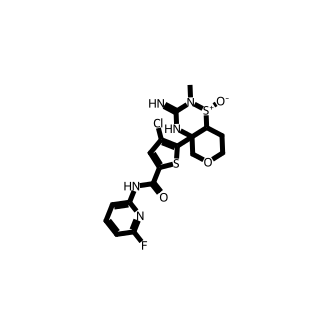 CN1C(=N)NC2(c3sc(C(=O)Nc4cccc(F)n4)cc3Cl)COCCC2[S+]1[O-]